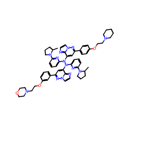 CC1CCCN1c1cccc(N(c2cc(-c3ccc(OCCN4CCCCC4)cc3)nn3ccnc23)N(c2cccc(N3CCCC3C)n2)c2cc(-c3cccc(OCCN4CCOCC4)c3)nn3ccnc23)n1